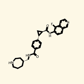 O=C(NC[C@@H]1CCCNCC1)c1ccc([C@@H]2C[C@H]2C(=O)Nc2ccc3cnccc3c2F)cc1